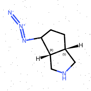 [N-]=[N+]=NC1CC[C@@H]2CNC[C@H]12